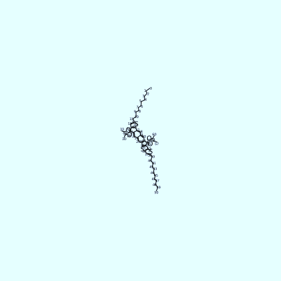 CCCCCCCCCCCCc1cc2c(s1)-c1cc3cc4c(cc3cc1C2(OCC)OCC)-c1sc2cc(CCCCCCCCCCCC)sc2c1C4(OCC)OCC